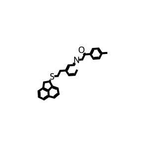 C\C=C/C(=C\C=N\CC(=O)c1ccc(C)cc1)CCSC1Cc2cccc3cccc1c23